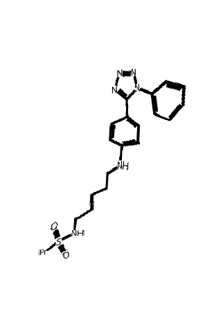 CC(C)S(=O)(=O)NCCCCCNc1ccc(-c2nnnn2-c2ccccc2)cc1